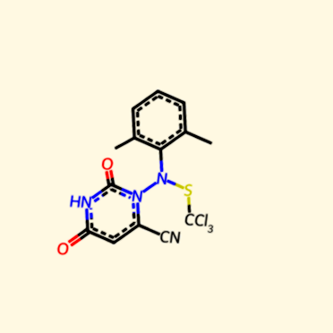 Cc1cccc(C)c1N(SC(Cl)(Cl)Cl)n1c(C#N)cc(=O)[nH]c1=O